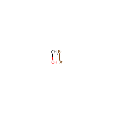 BrBr.CO